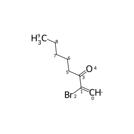 [CH]=C(Br)C(=O)CCCCC